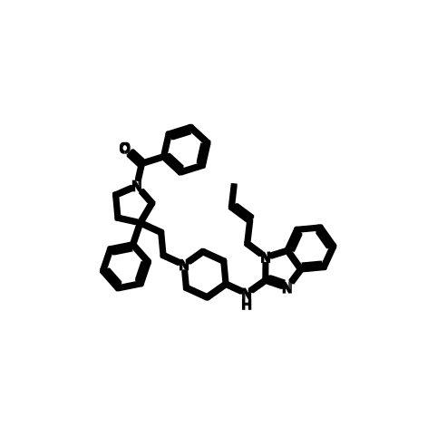 CC=CCn1c(NC2CCN(CCC3(c4ccccc4)CCN(C(=O)c4ccccc4)C3)CC2)nc2ccccc21